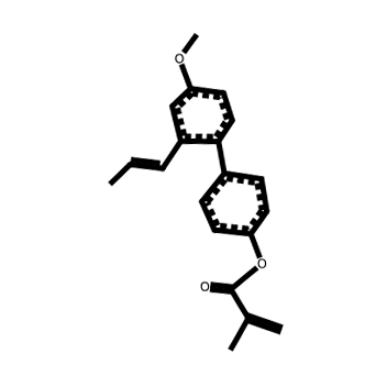 C=C(C)C(=O)Oc1ccc(-c2ccc(OC)cc2/C=C/C)cc1